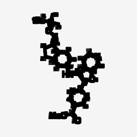 COC(=O)c1cnc(-c2oc3cnccc3c2Nc2ccc3c(c2)CCC3=NO[Si](C)(C)C(C)(C)C)nc1